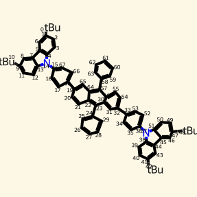 CC(C)(C)c1ccc2c(c1)c1cc(C(C)(C)C)ccc1n2-c1ccc(-c2ccc3c(-c4ccccc4)c4cc(-c5ccc(-n6c7ccc(C(C)(C)C)cc7c7cc(C(C)(C)C)ccc76)cc5)ccc4c(-c4ccccc4)c3c2)cc1